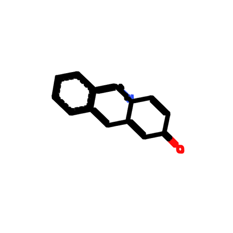 O=C1C=CC23C=NC=CC2=c2ccccc2=CC3=C1